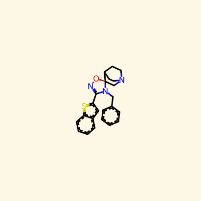 c1ccc(CN2C(c3cc4ccccc4s3)=NO[C@@]23CN2CCC3CC2)cc1